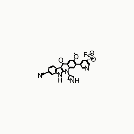 COc1cc2c(=O)c3c4ccc(C#N)cc4[nH]c3n(C3CNC3)c2cc1-c1cncc(S(=O)(=O)F)c1